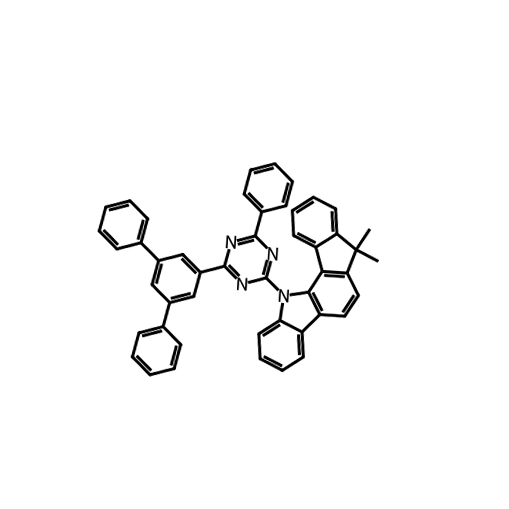 CC1(C)c2ccccc2-c2c1ccc1c3ccccc3n(-c3nc(-c4ccccc4)nc(-c4cc(-c5ccccc5)cc(-c5ccccc5)c4)n3)c21